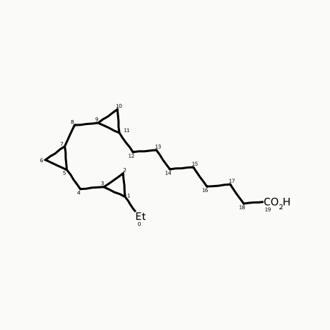 CCC1CC1CC1CC1CC1CC1CCCCCCCC(=O)O